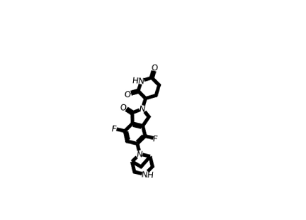 O=C1CCC(N2Cc3c(F)c(N4C5CNCC4C5)cc(F)c3C2=O)C(=O)N1